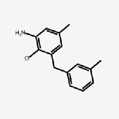 Cc1cccc(Cc2cc(C)cc(N)c2Cl)c1